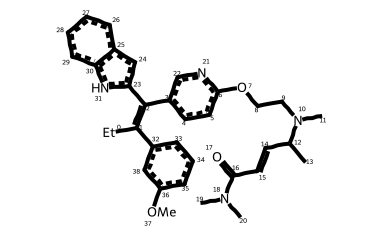 CC/C(=C(/c1ccc(OCCN(C)C(C)/C=C/C(=O)N(C)C)nc1)c1cc2ccccc2[nH]1)c1cccc(OC)c1